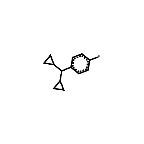 Fc1ccc(C(C2CC2)C2CC2)cc1